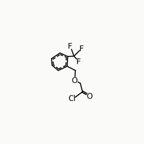 O=C(Cl)COCc1ccccc1C(F)(F)F